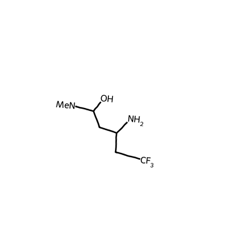 CNC(O)CC(N)CC(F)(F)F